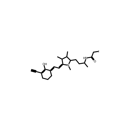 C#CC1=C(O)/C(=C/C=C2\C(C)C(C)C(CCC(C)NC(=O)CI)N2C)CCC1